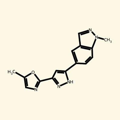 Cc1cnc(-c2cc(-c3ccc4c(cnn4C)c3)[nH]n2)o1